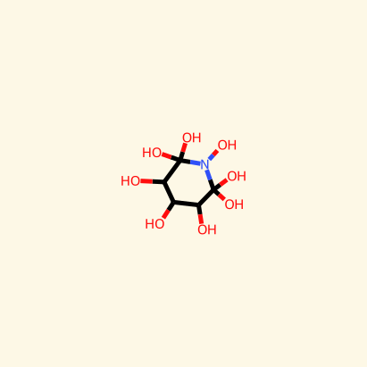 OC1C(O)C(O)(O)N(O)C(O)(O)C1O